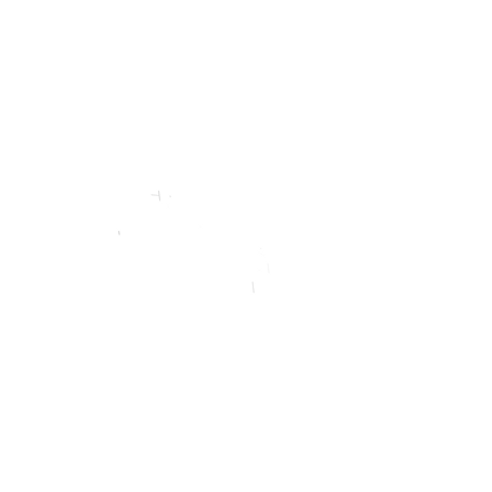 CC(C[SiH](Cl)CCC1CCCCC1)c1ccccc1Cl